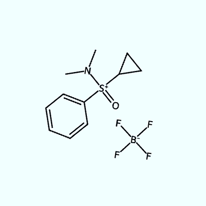 CN(C)[S+](=O)(c1ccccc1)C1CC1.F[B-](F)(F)F